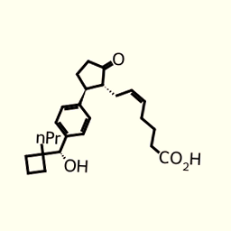 CCCC1([C@@H](O)c2ccc([C@H]3CCC(=O)[C@@H]3C/C=C\CCCC(=O)O)cc2)CCC1